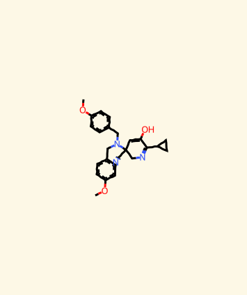 COc1ccc(CN(Cc2ccc(OC)cc2)C2(C#N)C=C(O)C(C3CC3)=NC2)cc1